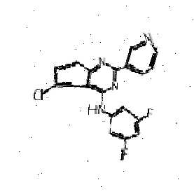 Fc1cc(F)cc(Nc2nc(-c3cccnc3)nc3ccc(Cl)cc23)c1